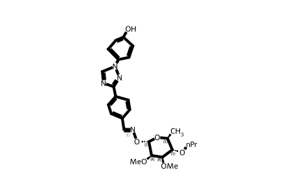 CCCO[C@@H]1[C@@H](OC)[C@@H](OC)[C@H](O/N=C/c2ccc(-c3ncn(-c4ccc(O)cc4)n3)cc2)O[C@H]1C